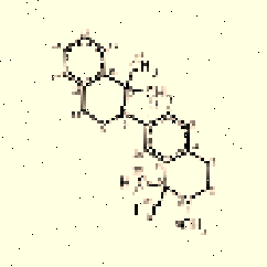 CN1CCc2ccc(N3CCc4ccccc4C3(C)C)cc2C1(C)C